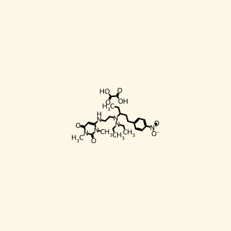 CCC(CCc1ccc([N+](=O)[O-])cc1)N(CCNc1cc(=O)n(C)c(=O)n1C)N(CC)CC.O=C(O)C(=O)O